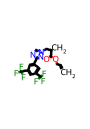 C=CCOC(=O)C(=C)Cn1cnc(-c2cc(C(F)(F)F)cc(C(F)(F)F)c2)n1